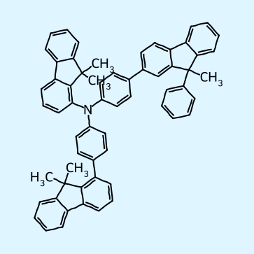 CC1(C)c2ccccc2-c2cccc(-c3ccc(N(c4ccc(-c5ccc6c(c5)C(C)(c5ccccc5)c5ccccc5-6)cc4)c4cccc5c4C(C)(C)c4ccccc4-5)cc3)c21